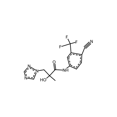 CC(O)(Cn1cncn1)C(=O)Nc1ccc(C#N)c(C(F)(F)F)c1